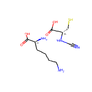 N#CN[C@@H](CS)C(=O)O.NCCCC[C@H](N)C(=O)O